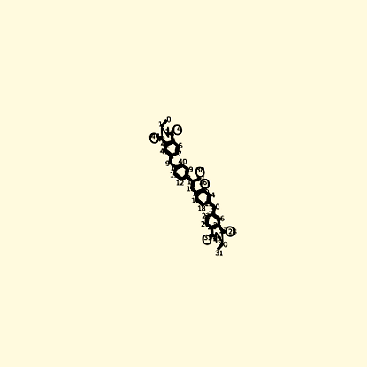 CCN1C(=O)c2ccc(Cc3ccc(-c4cc5ccc(Cc6ccc7c(c6)C(=O)N(CC)C7=O)cc5oc4=O)cc3)cc2C1=O